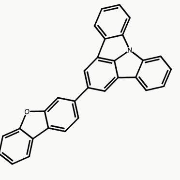 c1ccc2c(c1)oc1cc(-c3cc4c5ccccc5n5c6ccccc6c(c3)c45)ccc12